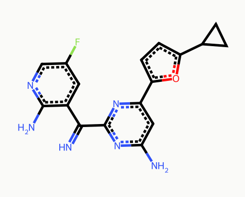 N=C(c1nc(N)cc(-c2ccc(C3CC3)o2)n1)c1cc(F)cnc1N